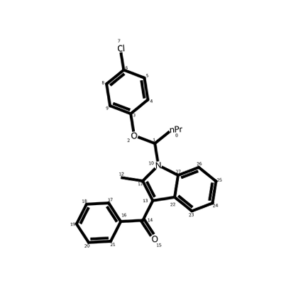 CCCC(Oc1ccc(Cl)cc1)n1c(C)c(C(=O)c2ccccc2)c2ccccc21